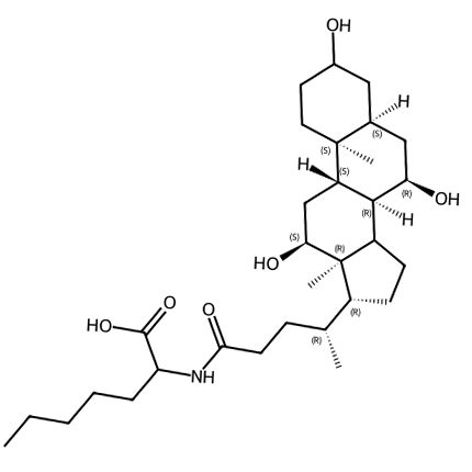 CCCCCC(NC(=O)CC[C@@H](C)[C@H]1CCC2[C@@H]3[C@H](O)C[C@@H]4CC(O)CC[C@]4(C)[C@H]3C[C@H](O)[C@@]21C)C(=O)O